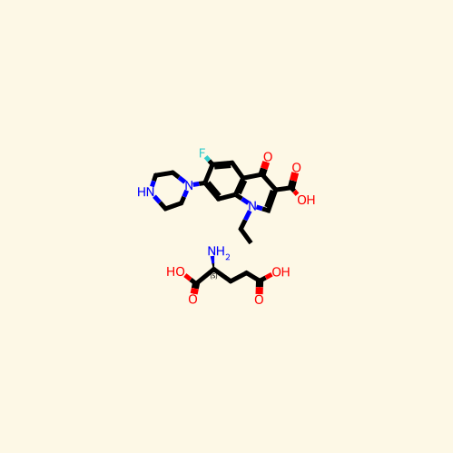 CCn1cc(C(=O)O)c(=O)c2cc(F)c(N3CCNCC3)cc21.N[C@@H](CCC(=O)O)C(=O)O